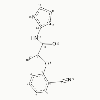 N#Cc1ccccc1OC(F)C(=O)Nc1nccs1